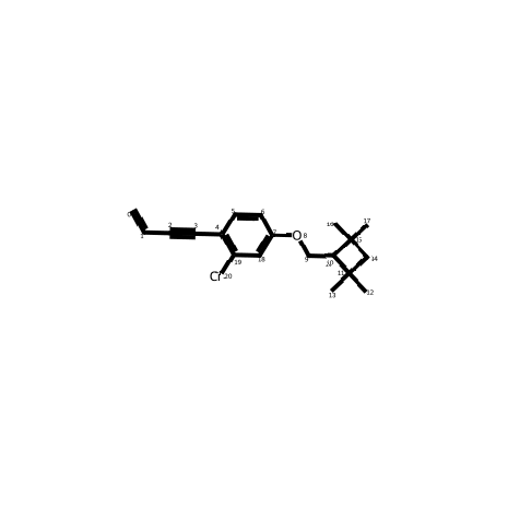 C=CC#Cc1ccc(OCC2C(C)(C)CC2(C)C)cc1Cl